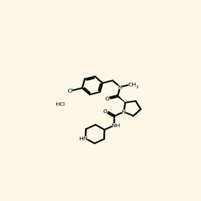 CN(Cc1ccc(Cl)cc1)C(=O)[C@H]1CCCN1C(=O)NC1CCNCC1.Cl